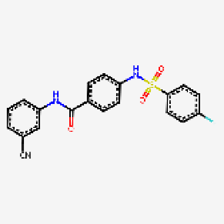 N#Cc1cccc(NC(=O)c2ccc(NS(=O)(=O)c3ccc(F)cc3)cc2)c1